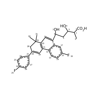 CC(C(=O)O)C(O)CC(O)C=CC1=C(c2ccc(F)cc2)C=C(c2ccc(F)cc2)CC1(C)C